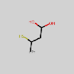 CCCC(S)CC(O)O